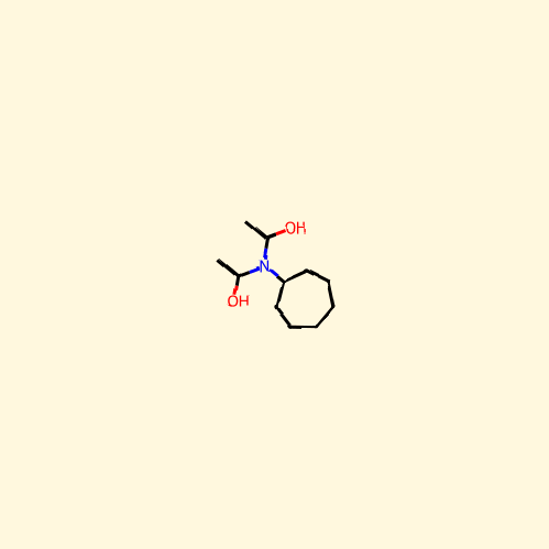 CC(O)N(C(C)O)C1CCCCCC1